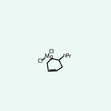 [CH2]CCC1CC=CCC1.[Cl][Mg][Cl]